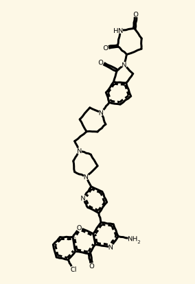 Nc1cc(-c2ccc(N3CCN(CC4CCN(c5ccc6c(c5)C(=O)N(C5CCC(=O)NC5=O)C6)CC4)CC3)nc2)c2oc3cccc(Cl)c3c(=O)c2n1